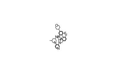 CC1CC(N)CN(c2ccncc2NCc2ccc(F)c(-c3c(F)cc(C4CCOCC4)cc3F)n2)C1